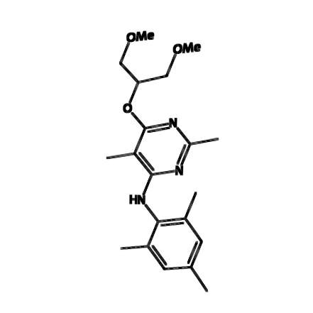 COCC(COC)Oc1nc(C)nc(Nc2c(C)cc(C)cc2C)c1C